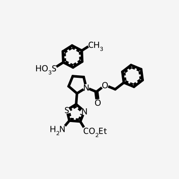 CCOC(=O)c1nc(C2CCCN2C(=O)OCc2ccccc2)sc1N.Cc1ccc(S(=O)(=O)O)cc1